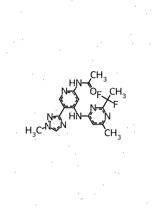 CC(=O)Nc1cc(Nc2cc(C)nc(C(C)(F)F)n2)c(-c2ncn(C)n2)cn1